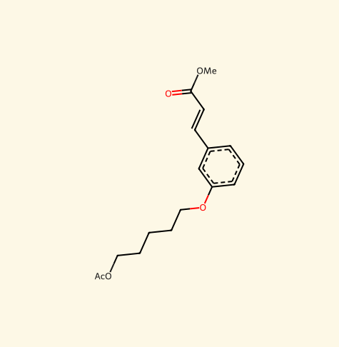 COC(=O)C=Cc1cccc(OCCCCCOC(C)=O)c1